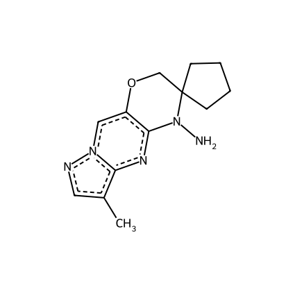 Cc1cnn2cc3c(nc12)N(N)C1(CCCC1)CO3